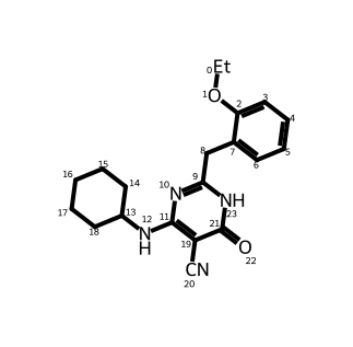 CCOc1ccccc1Cc1nc(NC2CCCCC2)c(C#N)c(=O)[nH]1